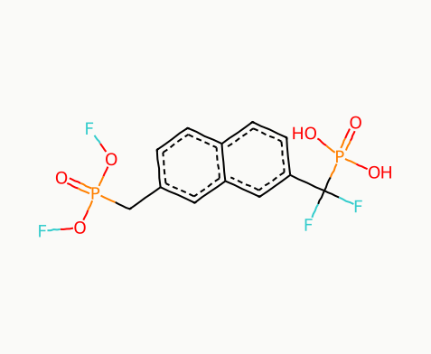 O=P(Cc1ccc2ccc(C(F)(F)P(=O)(O)O)cc2c1)(OF)OF